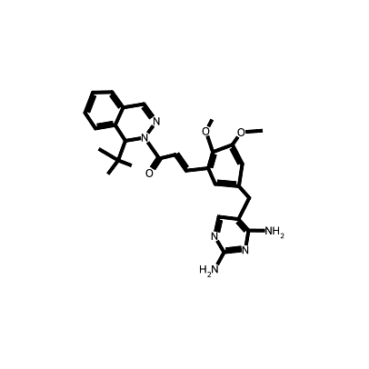 COc1cc(Cc2cnc(N)nc2N)cc(C=CC(=O)N2N=Cc3ccccc3C2C(C)(C)C)c1OC